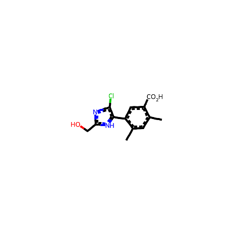 Cc1cc(C)c(-c2[nH]c(CO)nc2Cl)cc1C(=O)O